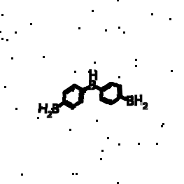 Bc1ccc(Bc2ccc(B)cc2)cc1